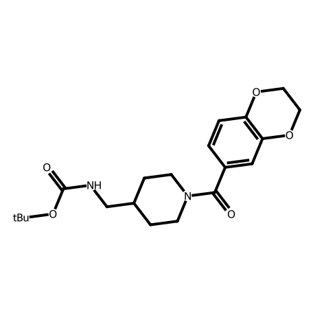 CC(C)(C)OC(=O)NCC1CCN(C(=O)c2ccc3c(c2)OCCO3)CC1